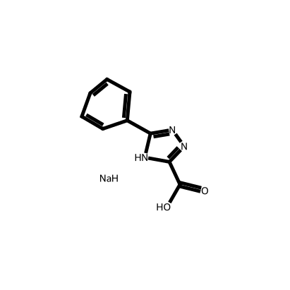 O=C(O)c1nnc(-c2ccccc2)[nH]1.[NaH]